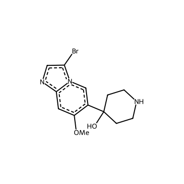 COc1cc2ncc(Br)n2cc1C1(O)CCNCC1